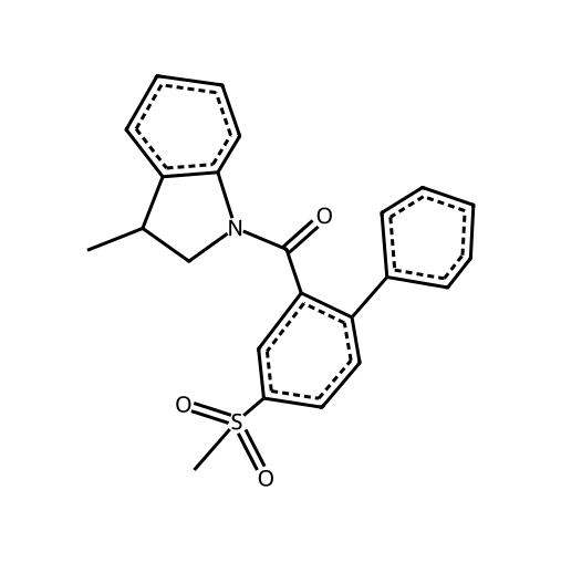 CC1CN(C(=O)c2cc(S(C)(=O)=O)ccc2-c2ccccc2)c2ccccc21